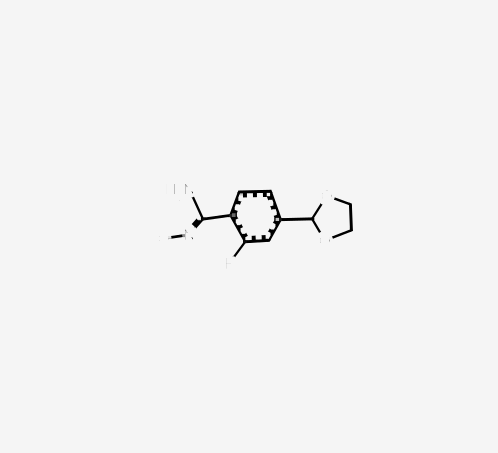 NC(=NO)c1ccc(C2OCCO2)cc1F